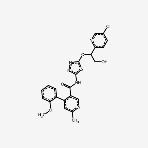 COc1ccccc1-c1cc(C)ncc1C(=O)Nc1nnc(OC(CO)c2ccc(Cl)cn2)s1